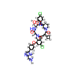 COC[C@@H]1NC(=O)[C@H](C)N(Cc2c(F)cc(Cl)cc2Oc2ccc(-c3cnc(CN(C)C)n3C)cc2)C(=O)C[C@@H](C2CCC2)C(=O)N2CCC[C@@](Cc3ccc(Cl)cc3)(C2)N(C)C1=O